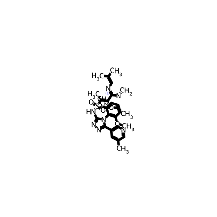 C=N/C(=N\C=C(C)C)[C@H](OCC)[C@H](C)S(=O)(=O)Nc1nnc(-c2cncc(C)c2)n1-c1c(OC)cccc1OC